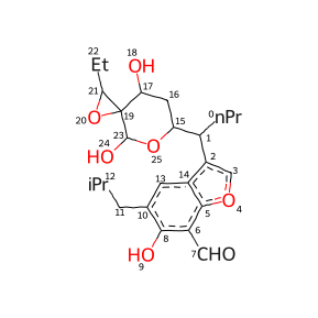 CCCC(c1coc2c(C=O)c(O)c(CC(C)C)cc12)C1CC(O)C2(OC2CC)C(O)O1